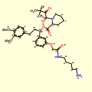 CCC(C)(C)C(=O)C(=O)N1CCCCC1C(=O)O[C@H](CCc1ccc(OC)c(OC)c1)c1cccc(OCC(=O)NCCCCCN)c1